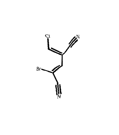 N#CC(Br)=CC(C#N)=CCl